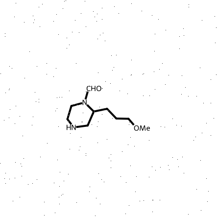 COCCCC1CNCCN1[C]=O